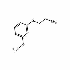 COc1cc[c]c(OCCN)c1